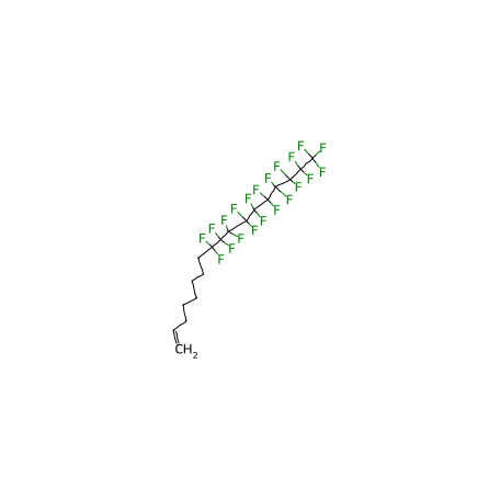 C=CCCCCCCC(F)(F)C(F)(F)C(F)(F)C(F)(F)C(F)(F)C(F)(F)C(F)(F)C(F)(F)C(F)(F)C(F)(F)F